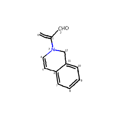 C=C(C=O)N1C=Cc2ccccc2C1